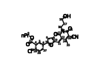 CCCOC(=O)c1cc(-c2ccc(/C=C3\C(=O)N(CCCO)C(=O)C(C#N)=C3C)o2)ccc1Cl